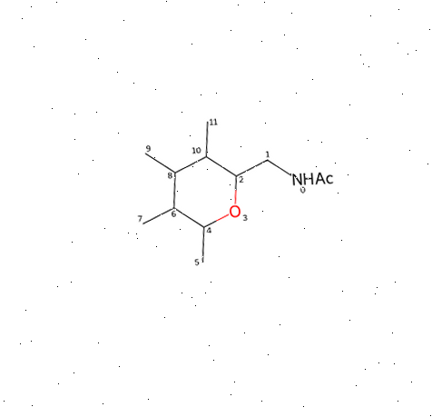 CC(=O)NCC1OC(C)C(C)C(C)C1C